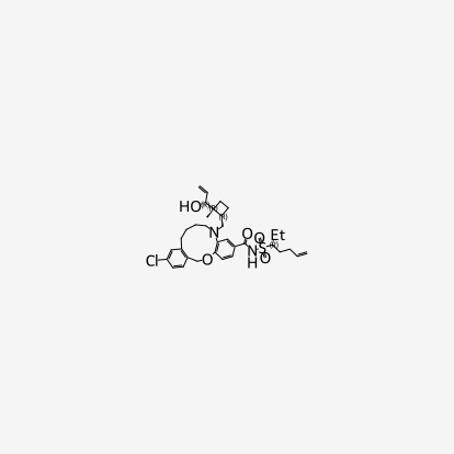 C=CCC[C@@H](CC)S(=O)(=O)NC(=O)c1ccc2c(c1)N(C[C@@H]1CC[C@@]1(C)[C@H](O)C=C)CCCCc1cc(Cl)ccc1CO2